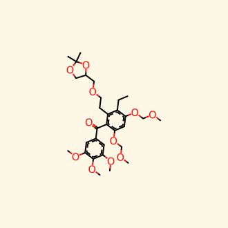 CCc1c(OCOC)cc(OCOC)c(C(=O)c2cc(OC)c(OC)c(OC)c2)c1CCOCC1COC(C)(C)O1